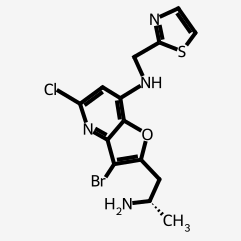 C[C@H](N)Cc1oc2c(NCc3nccs3)cc(Cl)nc2c1Br